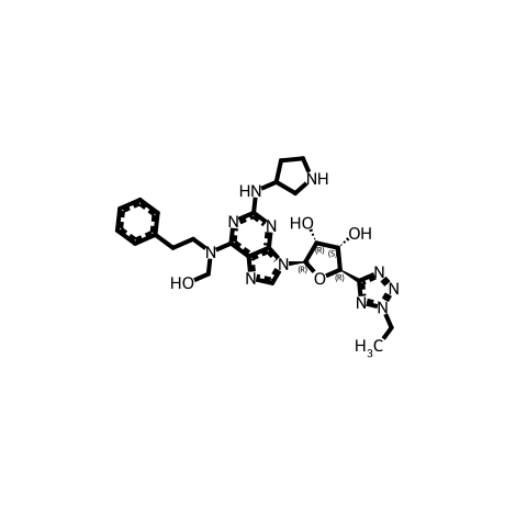 CCn1nnc([C@H]2O[C@@H](n3cnc4c(N(CO)CCc5ccccc5)nc(NC5CCNC5)nc43)[C@H](O)[C@@H]2O)n1